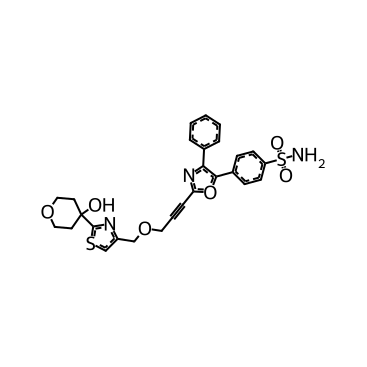 NS(=O)(=O)c1ccc(-c2oc(C#CCOCc3csc(C4(O)CCOCC4)n3)nc2-c2ccccc2)cc1